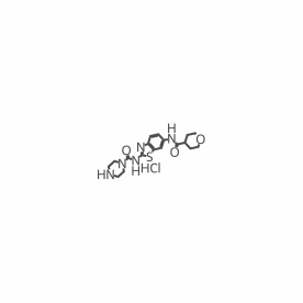 Cl.O=C(Nc1ccc2nc(NC(=O)N3CCNCC3)sc2c1)C1CCOCC1